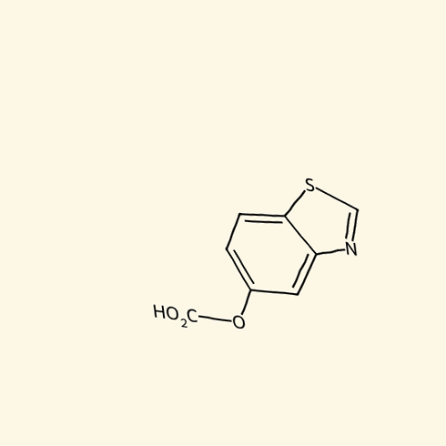 O=C(O)Oc1ccc2scnc2c1